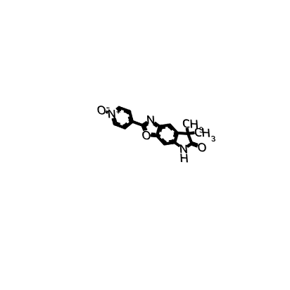 CC1(C)C(=O)Nc2cc3oc(-c4cc[n+]([O-])cc4)nc3cc21